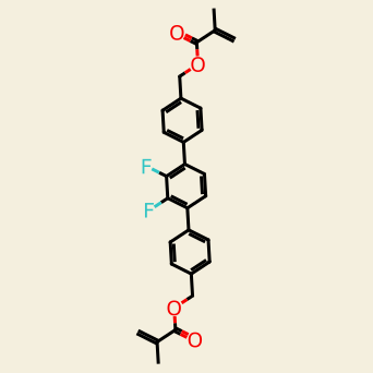 C=C(C)C(=O)OCc1ccc(-c2ccc(-c3ccc(COC(=O)C(=C)C)cc3)c(F)c2F)cc1